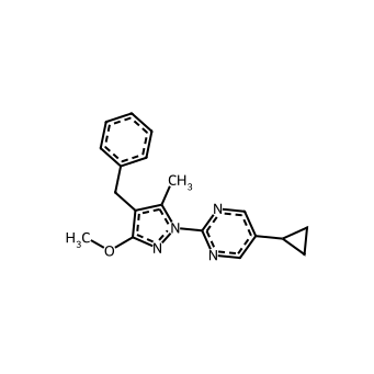 COc1nn(-c2ncc(C3CC3)cn2)c(C)c1Cc1ccccc1